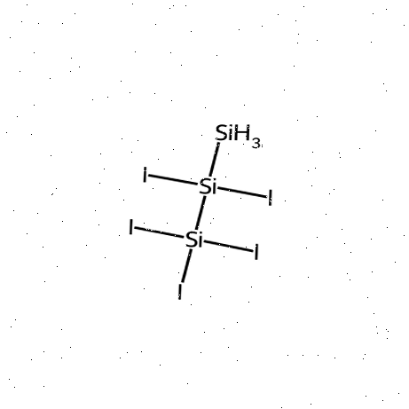 [SiH3][Si](I)(I)[Si](I)(I)I